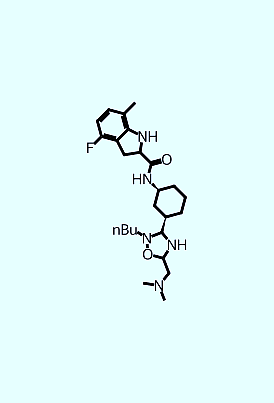 CCCCN1OC(CN(C)C)NC1[C@@H]1CCC[C@H](NC(=O)C2Cc3c(F)ccc(C)c3N2)C1